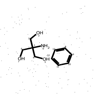 NC(CO)(CO)CO.c1ccccc1